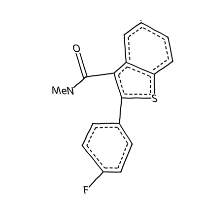 CNC(=O)c1c(-c2ccc(F)cc2)sc2cc[c]cc12